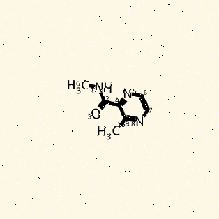 CNC(=O)c1nccnc1C